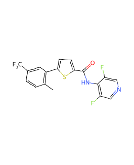 Cc1ccc(C(F)(F)F)cc1-c1ccc(C(=O)Nc2c(F)cncc2F)s1